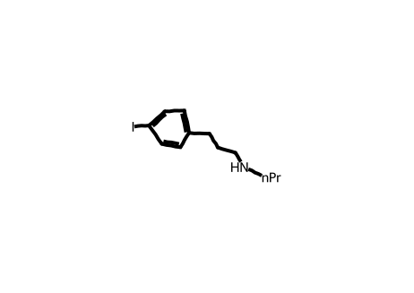 CCCNCCCc1ccc(I)cc1